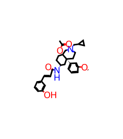 COc1cccc([C@@]23CCN(CC4CC4)C[C@@]2(OC(C)=O)CC[C@@H](NC(=O)C=Cc2cccc(O)c2)C3)c1